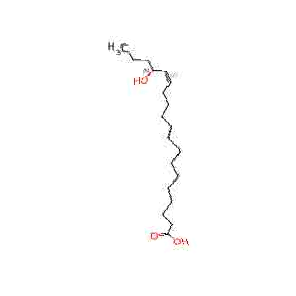 CCC[C@H](O)/C=C\CCCCCCCCCCCCC(=O)O